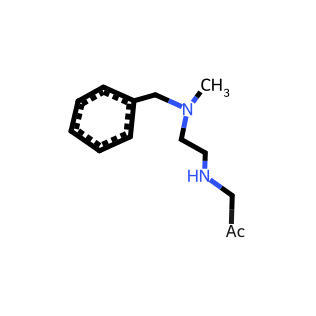 CC(=O)CNCCN(C)Cc1ccccc1